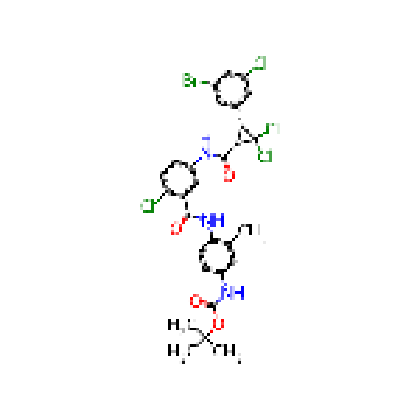 Cc1cc(NC(=O)OC(C)(C)C)ccc1NC(=O)c1cc(NC(=O)[C@H]2[C@H](c3cc(Cl)cc(Br)c3)C2(Cl)Cl)ccc1Cl